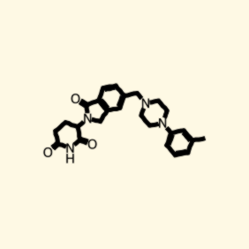 Cc1cccc(N2CCN(Cc3ccc4c(c3)CN(C3CCC(=O)NC3=O)C4=O)CC2)c1